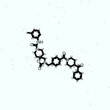 Cc1cccc(NC(=O)N2CCC3(CC2)CN(Cc2ccc(C(=O)N4CCC(C(=O)c5ccccc5)CC4)cc2)C(=O)O3)c1